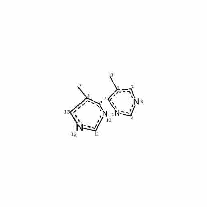 Cc1cncnc1.Cc1cncnc1